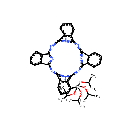 CC(C)[O][Zn]([O]C(C)C)([O]C(C)C)([O]C(C)C)[c]1cccc2c3nc4nc(nc5[nH]c(nc6nc(nc([nH]3)c12)-c1ccccc1-6)c1ccccc51)-c1ccccc1-4